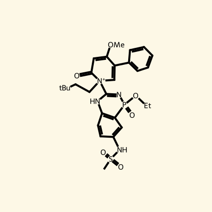 CCOP1(=O)N=C([N+]2(CCC(C)(C)C)C=C(c3ccccc3)C(OC)=CC2=O)Nc2ccc(NS(C)(=O)=O)cc21